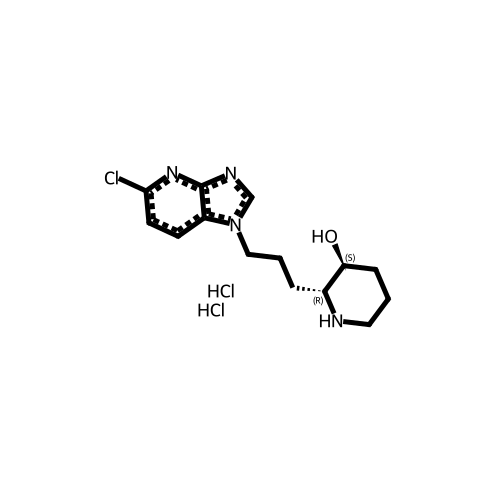 Cl.Cl.O[C@H]1CCCN[C@@H]1CCCn1cnc2nc(Cl)ccc21